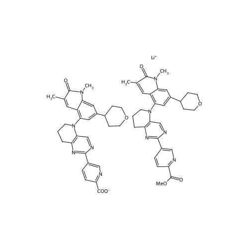 COC(=O)c1ccc(-c2ncc3c(n2)CCCN3c2cc(C3CCOCC3)cc3c2cc(C)c(=O)n3C)cn1.Cc1cc2c(N3CCCc4nc(-c5ccc(C(=O)[O-])nc5)ncc43)cc(C3CCOCC3)cc2n(C)c1=O.[Li+]